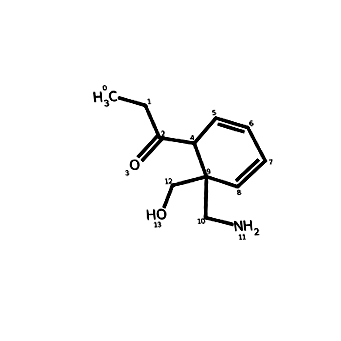 CCC(=O)C1C=CC=CC1(CN)CO